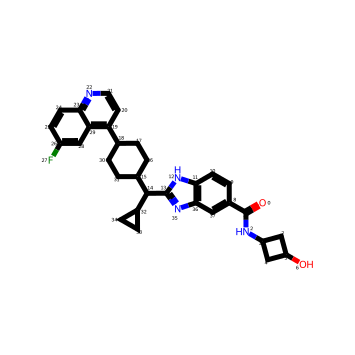 O=C(NC1CC(O)C1)c1ccc2[nH]c(C(C3CCC(c4ccnc5ccc(F)cc45)CC3)C3CC3)nc2c1